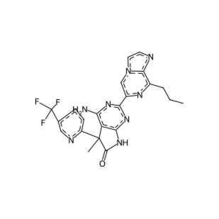 CCCc1nc(-c2nc(N)c3c(n2)NC(=O)C3(C)c2ccc(C(F)(F)F)cn2)cn2ccnc12